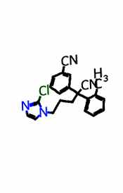 Cc1ccccc1C(C#N)(CCCn1ccnc1Cl)c1cccc(C#N)c1